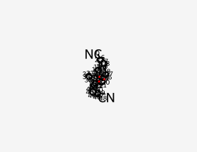 N#Cc1ccc2c(c1)CCCN2c1ccc2c(c1)C(c1ccccc1)(c1ccccc1)c1c-2c2ccccc2c2cc(N3CCCc4cc(C#N)ccc43)ccc12